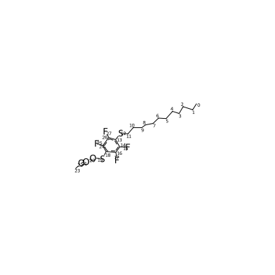 CCCCCCCCCCCCSc1c(F)c(F)c(SOOOC)c(F)c1F